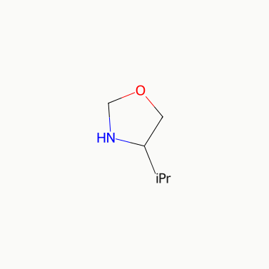 CC(C)C1COCN1